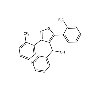 OC(c1cccnc1)c1c(-c2ccccc2C(F)(F)F)csc1-c1ccccc1C(F)(F)F